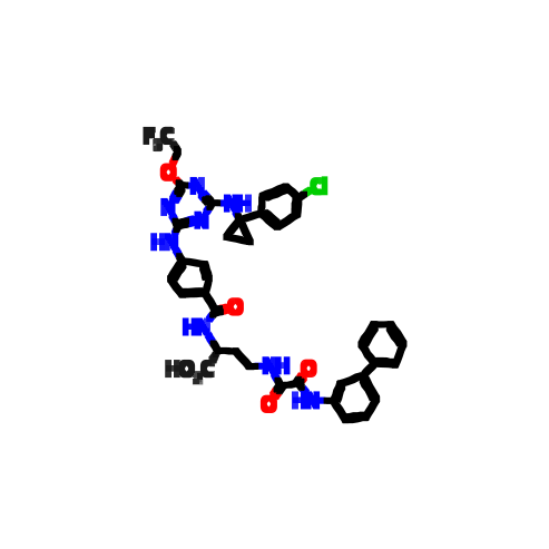 O=C(NCC[C@H](NC(=O)c1ccc(Nc2nc(NC3(c4ccc(Cl)cc4)CC3)nc(OCC(F)(F)F)n2)cc1)C(=O)O)C(=O)Nc1cccc(-c2ccccc2)c1